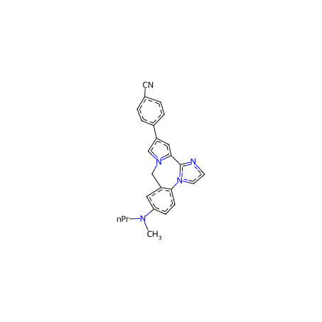 CCCN(C)c1ccc2c(c1)Cn1cc(-c3ccc(C#N)cc3)cc1-c1nccn1-2